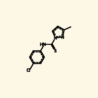 Cc1ccn(C(=S)Nc2ccc(Cl)cc2)n1